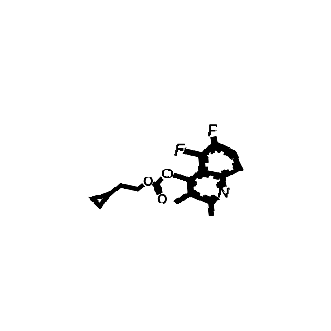 Cc1nc2ccc(F)c(F)c2c(OC(=O)OCCC2CC2)c1C